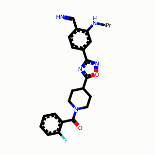 CC(C)Nc1cc(-c2noc(C3CCN(C(=O)c4ccccc4F)CC3)n2)ccc1C=N